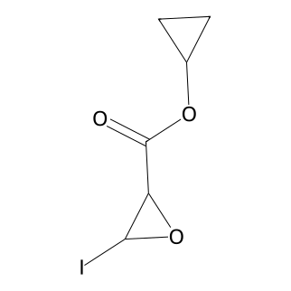 O=C(OC1CC1)C1OC1I